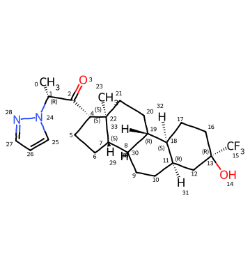 C[C@H](C(=O)[C@H]1CC[C@H]2[C@@H]3CC[C@@H]4C[C@@](O)(C(F)(F)F)CC[C@@H]4[C@H]3CC[C@]12C)n1cccn1